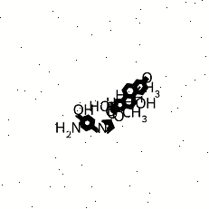 C[C@]12C=CC(=O)C=C1CC[C@@H]1[C@@H]2[C@@H](O)C[C@@]2(C)[C@H]1C[C@H]1O[C@@H](c3ccn(Cc4ccc(CO)c(N)c4)c3)O[C@]12C(=O)CO